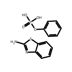 Nc1nc2ccccc2s1.O=P(O)(O)Oc1ccccc1